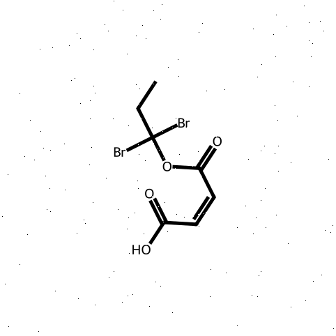 CCC(Br)(Br)OC(=O)/C=C\C(=O)O